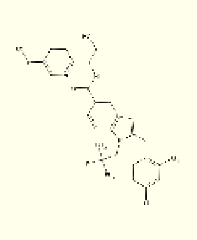 BC(B)(F)Cn1c(Cc2ccc(Cl)cc2C(F)(F)F)cc2cc(C(=O)NC(CO)c3ccc(SCC)cn3)ccc21